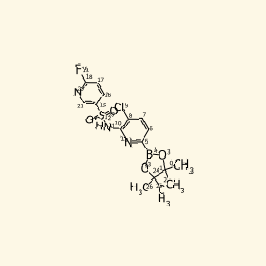 CC1(C)OB(c2ccc(Cl)c(NS(=O)(=O)c3ccc(F)nc3)n2)OC1(C)C